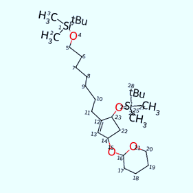 CC(C)(C)[Si](C)(C)OCCCCCCCC1=CC(OC2CCCCO2)CC1O[Si](C)(C)C(C)(C)C